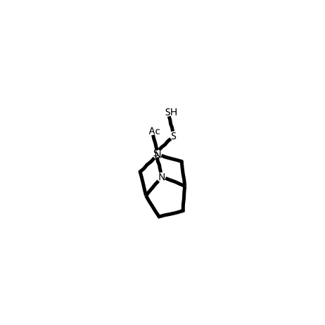 CC(=O)N1CC2CCC(C1)N2SSS